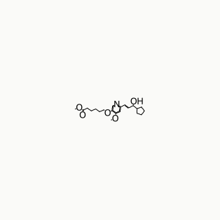 COC(=O)CCCCCOc1cnc(/C=C/C(O)C2CCCC2)cc1OC